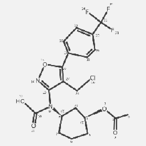 CC(=O)O[C@H]1CCC[C@@H](N(C(=O)O)c2noc(-c3ccc(C(F)(F)F)cc3)c2CCl)C1